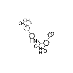 CC(=O)N1CCC(c2ccc(N/C=C3\C(=O)NC(=O)c4ccc(-c5ccoc5)cc43)cc2)CC1